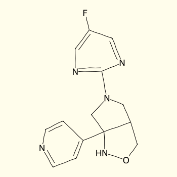 Fc1cnc(N2CC3CONC3(c3ccncc3)C2)nc1